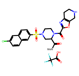 CNC(=O)C1CN(S(=O)(=O)c2ccc3cc(Cl)ccc3c2)CCN1C(=O)c1nc2c(o1)CNCC2.O=C(O)C(F)(F)F